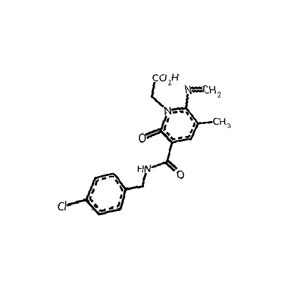 C=Nc1c(C)cc(C(=O)NCc2ccc(Cl)cc2)c(=O)n1CC(=O)O